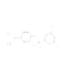 CCC(O)c1ccc2c(c1)CC(c1cc(Cl)cc(Cl)c1)(C(F)(F)F)O2